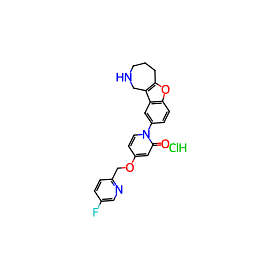 Cl.O=c1cc(OCc2ccc(F)cn2)ccn1-c1ccc2oc3c(c2c1)CNCCC3